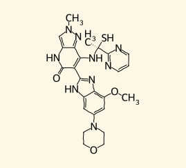 COc1cc(N2CCOCC2)cc2[nH]c(-c3c(N[C@@](C)(S)c4ncccn4)c4nn(C)cc4[nH]c3=O)nc12